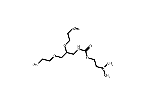 CCCCCCCCCCCCOCC(CNC(=O)OCCN(C)C)OCCCCCCCCCCCC